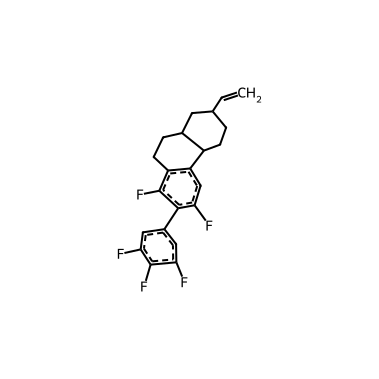 C=CC1CCC2c3cc(F)c(-c4cc(F)c(F)c(F)c4)c(F)c3CCC2C1